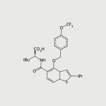 CC(C)C1=CC2C(OCc3ccc(OC(F)(F)F)cc3)=C(C(=O)N[C@H](C(=O)O)C(C)(C)C)C=CC2S1